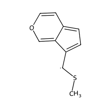 CS[CH]c1ccc2ccocc1-2